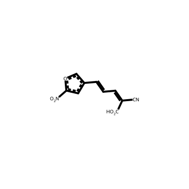 N#CC(=CC=Cc1coc([N+](=O)[O-])c1)C(=O)O